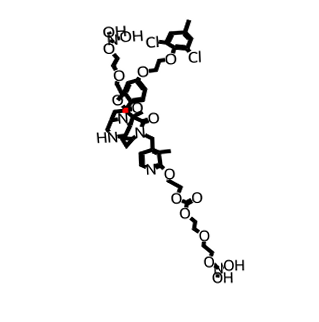 Cc1cc(Cl)c(OCCOc2ccc(C3CC4CNCC(N4C(=O)OCCOCCON(O)O)C3(C)C(=O)N(Cc3ccnc(OCCOC(=O)OCCOCCON(O)O)c3C)C3CC3)cc2)c(Cl)c1